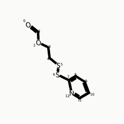 O=COCCSSc1ccccn1